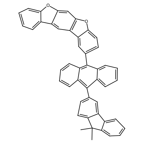 CC1(C)c2ccccc2-c2cc(-c3c4ccccc4c(-c4ccc5oc6cc7oc8ccccc8c7cc6c5c4)c4ccccc34)ccc21